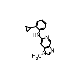 Cn1cnc2cnc(Nc3ccccc3C3CC3)cc21